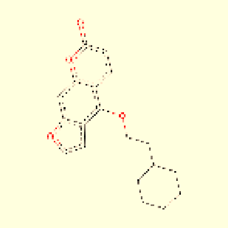 O=c1ccc2c(OCCC3CCCCC3)c3ccoc3cc2o1